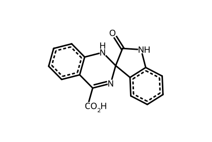 O=C(O)C1=NC2(Nc3ccccc31)C(=O)Nc1ccccc12